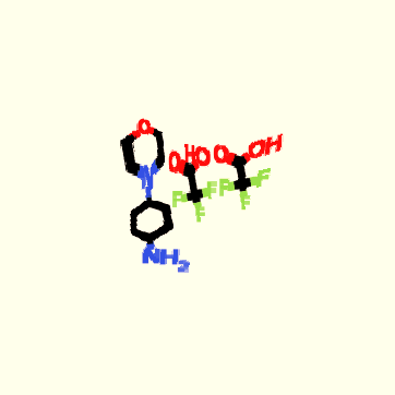 N[C@H]1CC[C@@H](N2CCOCC2)CC1.O=C(O)C(F)(F)F.O=C(O)C(F)(F)F